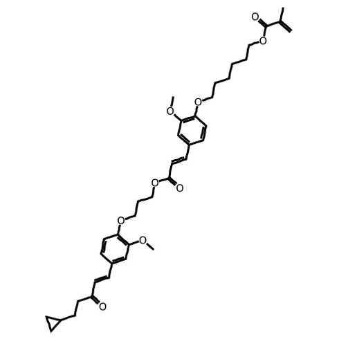 C=C(C)C(=O)OCCCCCCOc1ccc(/C=C/C(=O)OCCCOc2ccc(/C=C/C(=O)CCC3CC3)cc2OC)cc1OC